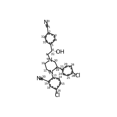 N#Cc1ccc([C@H](O)CN2CCN(c3ccc(Cl)cc3C#N)[C@H](c3ccc(Cl)cc3)C2)cc1